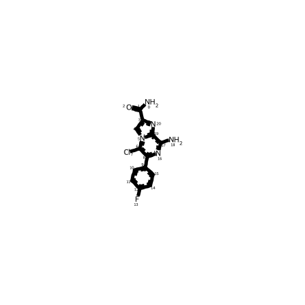 NC(=O)c1cn2c(Cl)c(-c3ccc(F)cc3)nc(N)c2n1